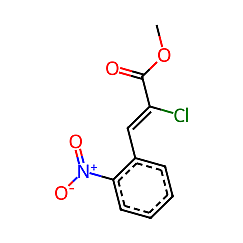 COC(=O)C(Cl)=Cc1ccccc1[N+](=O)[O-]